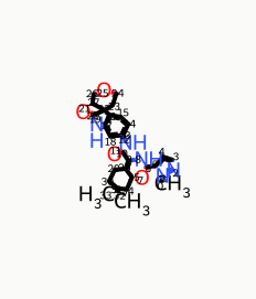 Cn1nccc1C(=O)NC(C(=O)Nc1ccc2c(c1)NC(=O)C21CCOCC1)=C1CCC(C)(C)CC1